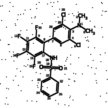 CN(C)c1c(Cl)cc(-c2c(F)c(F)c(F)c(F)c2NS(=O)(=O)c2ccccc2)cc1Cl